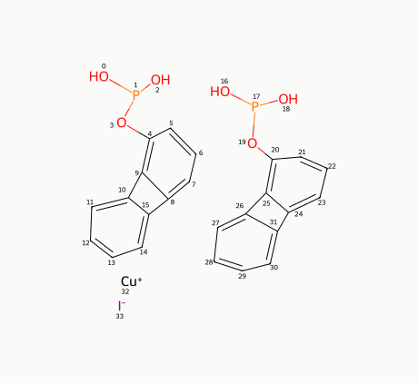 OP(O)Oc1cccc2c1-c1ccccc1-2.OP(O)Oc1cccc2c1-c1ccccc1-2.[Cu+].[I-]